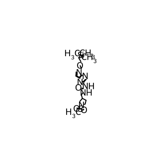 C[Si](C)(C)CCOCn1ccc2nc(NC(=O)NCC3CCN(S(C)(=O)=O)C3)cnc21